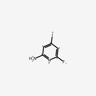 Nc1cc(I)cc(F)n1